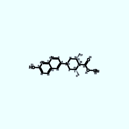 C[C@@H]1CN(c2cnc3nc(O)ccc3c2)C[C@H](C)N1C(=O)OC(C)(C)C